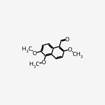 COc1ccc2c(OC)c(OC)ccc2c1C=O